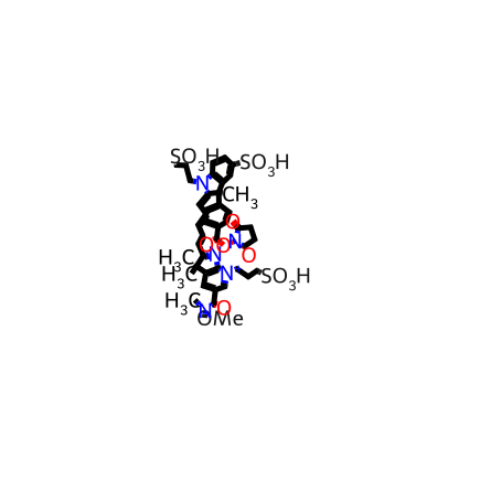 CON(C)C(=O)c1cc2c([n+](CCCS(=O)(=O)O)c1)N=C(/C=C/C=C/C=C1/N(CCCS(=O)(=O)O)c3ccc(S(=O)(=O)O)cc3C1(C)c1ccc(C(=O)ON3C(=O)CCC3=O)cc1)C2(C)C